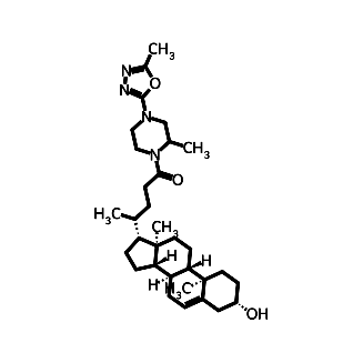 Cc1nnc(N2CCN(C(=O)CCC(C)[C@H]3CC[C@H]4[C@@H]5CC=C6C[C@@H](O)CC[C@]6(C)[C@H]5CC[C@]34C)C(C)C2)o1